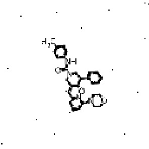 Cc1ccc(NC(=O)N2C/C(=C/c3cccc(N4CCOCC4)n3)C(=O)C(c3ccccc3)C2)cc1